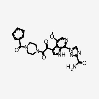 COc1cnc(-n2cnc(C(N)=O)n2)c2[nH]cc(C(=O)C(=O)N3CCN(C(=O)c4ccccc4)CC3)c12